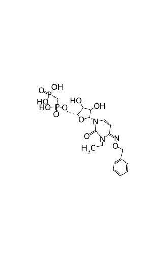 CCn1c(=O)n([C@@H]2O[C@H](COP(=O)(O)CP(=O)(O)O)C(O)C2O)cc/c1=N/OCc1ccccc1